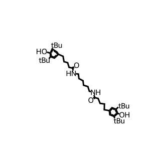 CC(C)(C)c1cc(CCCCC(=O)NCCCCCCNC(=O)CCCCc2cc(C(C)(C)C)c(O)c(C(C)(C)C)c2)cc(C(C)(C)C)c1O